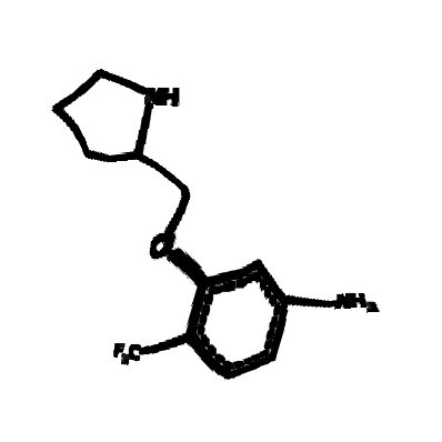 Nc1ccc(C(F)(F)F)c(OCC2CCCN2)c1